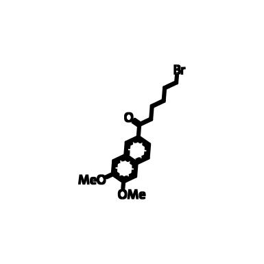 COc1cc2ccc(C(=O)CCCCCBr)cc2cc1OC